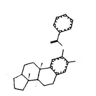 C[C@]12CC[C@@H]3c4cc(OC(=O)c5ccccc5)c(O)cc4CC[C@H]3[C@@H]1CC[C@@H]2O